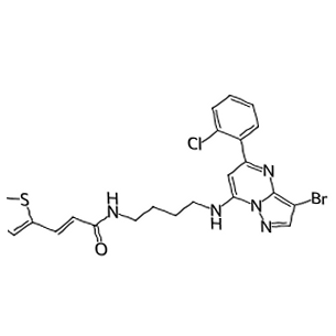 O=C(/C=C/c1cccs1)NCCCCNc1cc(-c2ccccc2Cl)nc2c(Br)cnn12